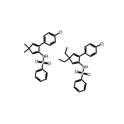 CC1(C)C=C(NS(=O)(=O)c2ccccc2)C(c2ccc(Cl)cc2)=C1.CCC1(CC)C=C(NS(=O)(=O)c2ccccc2)C(c2ccc(Cl)cc2)=C1